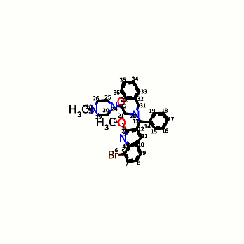 COc1nc2c(Br)cccc2cc1C(c1ccccc1)N(CC(=O)N1CCN(C)CC1)Cc1ccccc1